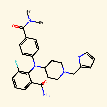 CC(C)N(C(=O)c1ccc(N(c2c(F)cccc2C(N)=O)C2CCN(Cc3ccc[nH]3)CC2)cc1)C(C)C